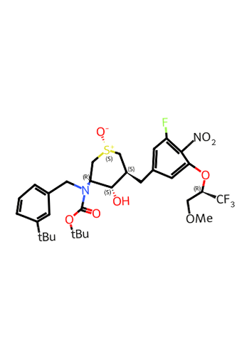 COC[C@@H](Oc1cc(C[C@@H]2C[S@@+]([O-])C[C@H](N(Cc3cccc(C(C)(C)C)c3)C(=O)OC(C)(C)C)[C@H]2O)cc(F)c1[N+](=O)[O-])C(F)(F)F